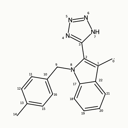 [CH2]c1c(-c2nnn[nH]2)n(Cc2ccc(C)cc2)c2ccccc12